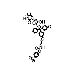 COc1ccc(C(OC[C@H]2O[C@@H](n3cc(C)c(=O)[nH]c3=O)C[C@H]2O)(c2ccccc2)c2ccc(OCCCNC(=O)Oc3ccc([N+](=O)[O-])cc3)cc2)cc1